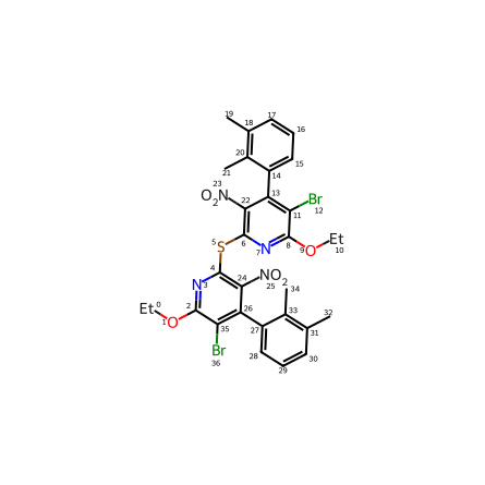 CCOc1nc(Sc2nc(OCC)c(Br)c(-c3cccc(C)c3C)c2[N+](=O)[O-])c([N+](=O)[O-])c(-c2cccc(C)c2C)c1Br